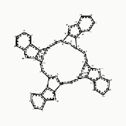 c1ccc2c3c(sc2c1)-c1cc2[nH]c(cc4nc(cc5[nH]c(cc-3n1)c1sc3ccccc3c51)-c1sc3ccccc3c1-4)c1sc3ccccc3c21